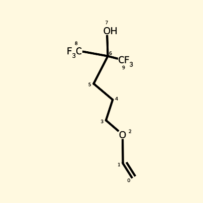 C=COCCCC(O)(C(F)(F)F)C(F)(F)F